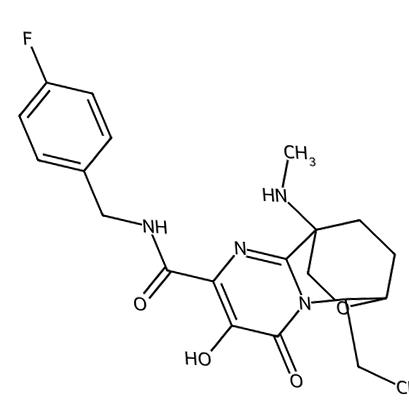 CCC1C2CCC(NC)(CO2)c2nc(C(=O)NCc3ccc(F)cc3)c(O)c(=O)n21